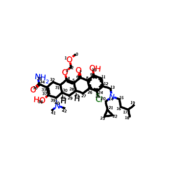 COCOC1=C2C(=O)c3c(O)cc(CN(CCC(C)C)CC4CC4)c(Cl)c3C[C@H]2C[C@@H]2C1CC(C(N)=O)=C(O)[C@H]2N(C)C